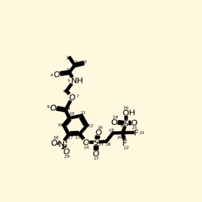 C=C(C)C(=O)NCOC(=O)c1ccc(OS(=O)(=O)CCC(F)(F)S(=O)(=O)O)c([N+](=O)[O-])c1